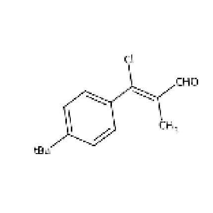 C/C(C=O)=C(/Cl)c1ccc(C(C)(C)C)cc1